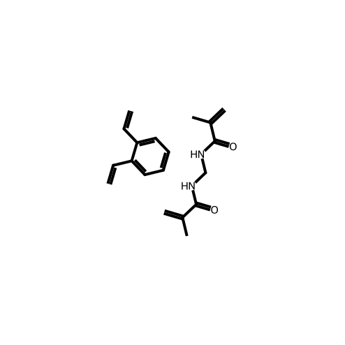 C=C(C)C(=O)NCNC(=O)C(=C)C.C=Cc1ccccc1C=C